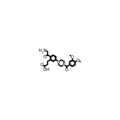 COc1ccc(C(=O)N2CCN(c3ccc(C(=O)CN)c(CCC(=O)O)c3)CC2)cc1OC